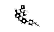 C=CC(=O)Nc1cc(N2CCN(CC)CC2)ccc1Nc1cc(NCC2CCC2)c(C#N)cn1